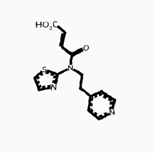 O=C(O)C=CC(=O)N(CCc1ccncc1)c1nccs1